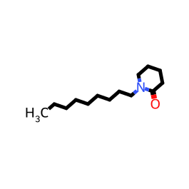 CCCCCCCCCN1CCCCC1=O